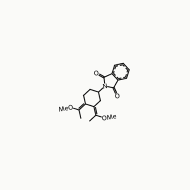 CO/C(C)=C1\CCC(N2C(=O)c3ccccc3C2=O)C\C1=C(\C)OC